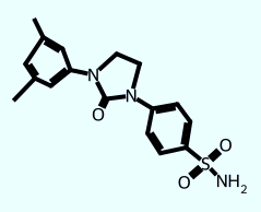 Cc1cc(C)cc(N2CCN(c3ccc(S(N)(=O)=O)cc3)C2=O)c1